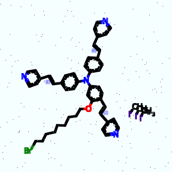 BrCCCCCCCCCOc1cc(N(c2ccc(/C=C/c3ccncc3)cc2)c2ccc(/C=C/c3ccncc3)cc2)ccc1/C=C/c1ccncc1.CI.CI.CI